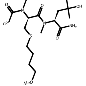 CCCC(=O)N(C)[C@H](CSCCCCOC)C(=O)N(C)[C@@H](CC(C)(C)O)C(N)=O